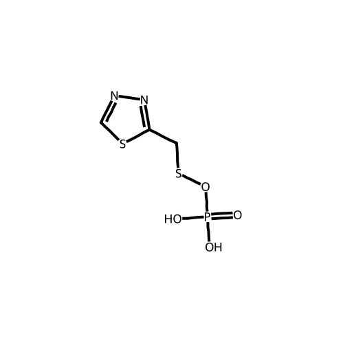 O=P(O)(O)OSCc1nncs1